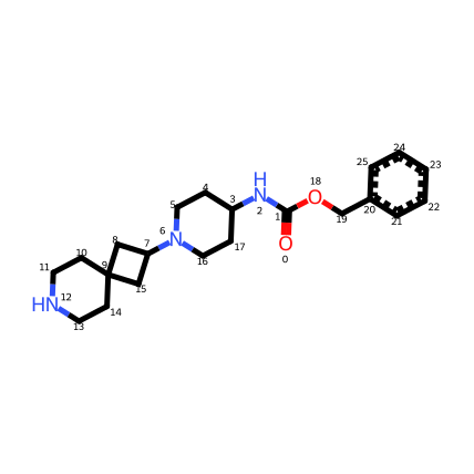 O=C(NC1CCN(C2CC3(CCNCC3)C2)CC1)OCc1ccccc1